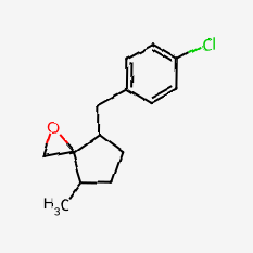 CC1CCC(Cc2ccc(Cl)cc2)C12CO2